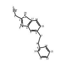 BrCc1nc2cc(CCc3ccccc3)ccc2s1